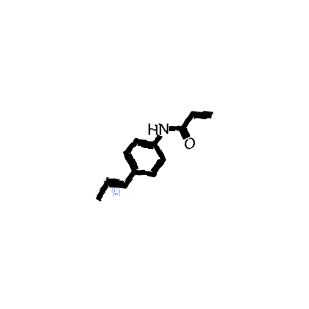 C=CC(=O)Nc1ccc(/C=C/C)cc1